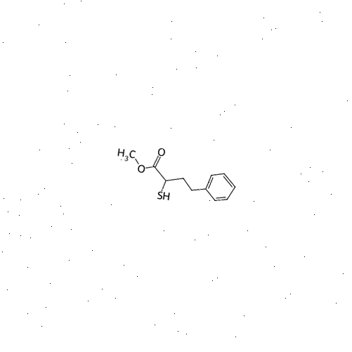 COC(=O)C(S)CCc1ccccc1